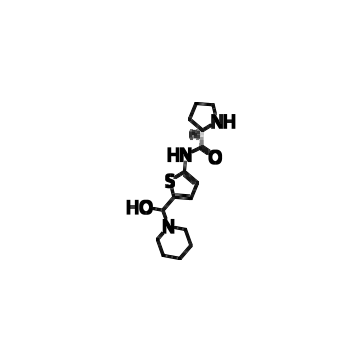 O=C(Nc1ccc(C(O)N2CCCCC2)s1)[C@@H]1CCCN1